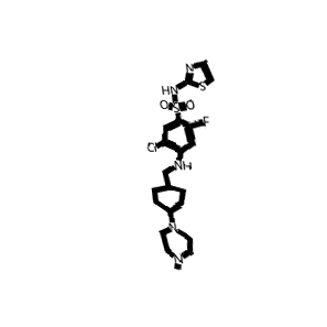 CN1CCN(C2CCC(CNc3cc(F)c(S(=O)(=O)Nc4nccs4)cc3Cl)CC2)CC1